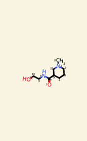 CN1CCCC(C(=O)NCCO)C1